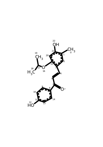 Cc1cc(C=CC(=O)c2ccc(O)cc2)c(OC(C)C)cc1O